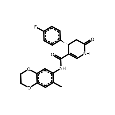 Cc1cc2c(cc1NC(=O)C1=CNC(=O)C[C@H]1c1ccc(F)cc1)OCCO2